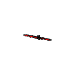 CCCCCCCCCCCCCCCCCCCCCCCCCCCC(=O)OCCCCCCCCCCCCCCCCCCCCC